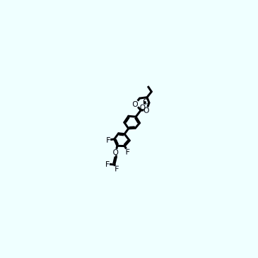 CCC12COC(c3ccc(-c4cc(F)c(OC=C(F)F)c(F)c4)cc3)(OC1)OC2